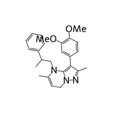 COc1ccc(-c2c(C)nn3c2N(CC(C)c2ccccc2)C(C)=CC3)cc1OC